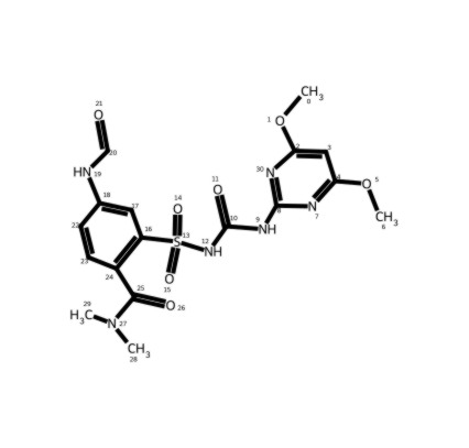 COc1cc(OC)nc(NC(=O)NS(=O)(=O)c2cc(NC=O)ccc2C(=O)N(C)C)n1